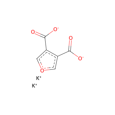 O=C([O-])c1cocc1C(=O)[O-].[K+].[K+]